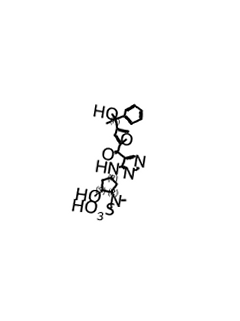 CN([C@@H]1C[C@@H](Nc2ncncc2C(=O)c2cc([C@](C)(O)c3ccccc3)co2)C[C@@H]1O)S(=O)(=O)O